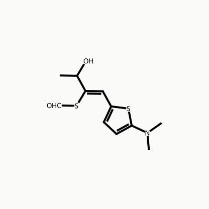 CC(O)/C(=C/c1ccc(N(C)C)s1)SC=O